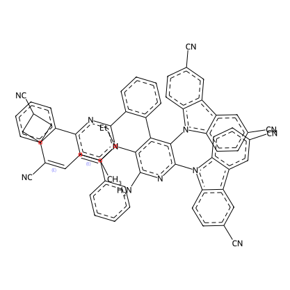 CCN(/C(C)=C/C=C(/C#N)C1CC(C#N)C1)c1c(N)nc(-n2c3ccc(C#N)cc3c3cc(C#N)ccc32)c(-n2c3ccc(C#N)cc3c3cc(C#N)ccc32)c1-c1ccccc1-c1nc(-c2ccccc2)cc(-c2ccccc2)n1